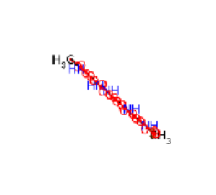 CCCCCCOC(=O)NCCCOCCOCCOCCCNC(=O)CCC(=O)NCCOCCOCCOCCOCCC(=O)NCCCOCCOCCOCCCNC(=O)CCCSS(C)(=O)=O